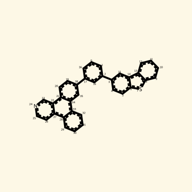 c1cc(-c2ccc3sc4ccccc4c3c2)cc(-c2ccc3c4cnccc4c4ccccc4c3c2)c1